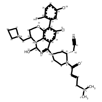 CN(C)C/C=C/C(=O)N1CCN(C2=NC(O)N3c4c2cc(Cl)c(-c2cc(Cl)ccc2F)c4OCC3CN2CCC2)C[C@@H]1CC#N